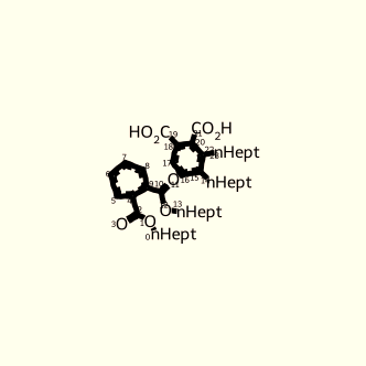 CCCCCCCOC(=O)c1ccccc1C(=O)OCCCCCCC.CCCCCCCc1ccc(C(=O)O)c(C(=O)O)c1CCCCCCC